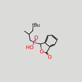 CC(CC(C)(C)C)CP(=O)(O)C1OC(=O)c2ccccc21